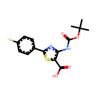 CC(C)(C)OC(=O)Nc1nc(-c2ccc(F)cc2)sc1C(=O)O